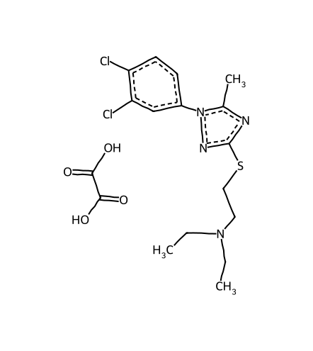 CCN(CC)CCSc1nc(C)n(-c2ccc(Cl)c(Cl)c2)n1.O=C(O)C(=O)O